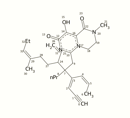 C#C/C=C(\C=C/C)C(CCC)(Cc1nc(=O)c(O)c2n1CCN(C)C2=O)C(C=C)CC/C(C)=C\CC